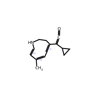 CC1=C/C=C(\C(=C=O)C2CC2)CCN\C=C\1